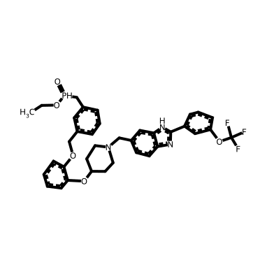 CCO[PH](=O)Cc1cccc(COc2ccccc2OC2CCN(Cc3ccc4nc(-c5cccc(OC(F)(F)F)c5)[nH]c4c3)CC2)c1